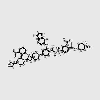 CC(C)c1ccccc1C1CN(C2COC2)CCN1C1CC2(CCN(c3ccc(C(=O)NS(=O)(=O)c4ccc(NC[C@H]5CC[C@](C)(O)CC5)c([N+](=O)[O-])c4)c(Oc4cnc5[nH]ccc5c4)c3)CC2)C1